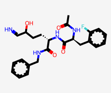 CC(=O)N[C@@H](Cc1ccccc1F)C(=O)N[C@@H](CCC(O)C=N)C(=O)NCc1ccccc1